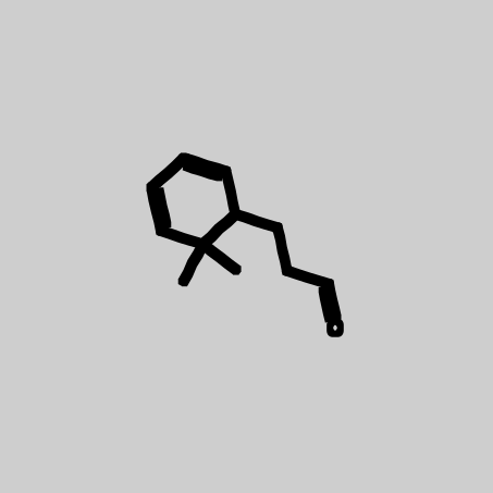 CC1(C)C=CC=CC1CCC=O